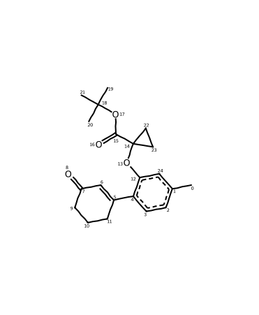 Cc1ccc(C2=CC(=O)CCC2)c(OC2(C(=O)OC(C)(C)C)CC2)c1